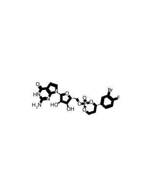 Nc1nc2c(ccn2[C@@H]2O[C@H](COP3(=O)OCC[C@@H](c4ccc(F)c(Br)c4)O3)[C@@H](O)[C@H]2O)c(=O)[nH]1